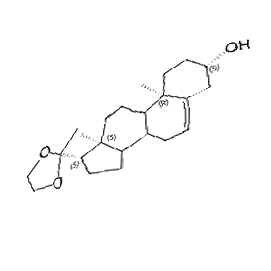 CC1([C@H]2CCC3C4CC=C5C[C@@H](O)CC[C@]5(C)C4CC[C@@]32C)OCCO1